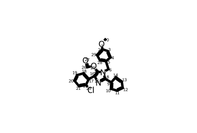 COc1ccc(Cn2c(-c3ccccc3)nc(-c3ccccc3Cl)c2OC=O)cc1